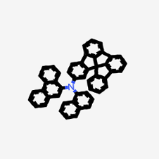 c1ccc2c(c1)-c1cccc3c1C21c2cc(N(c4cccc5ccccc45)c4cc5ccccc5c5ccccc45)ccc2-c2cccc-3c21